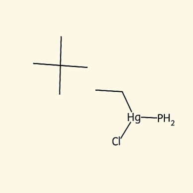 CC(C)(C)C.C[CH2][Hg]([PH2])[Cl]